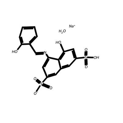 O.O=S(=O)([O-])c1cc(N=Cc2ccccc2O)c2c(O)cc(S(=O)(=O)O)cc2c1.[Na+]